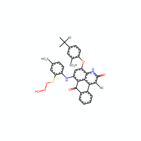 [C-]#[N+]c1c2c3c(c(Nc4ccc(S(=O)(=O)O)cc4SOOO)cc(Oc4ccc(C(C)(C)CC)cc4S(=O)(=O)O)c3[nH]c1=O)C(=O)c1ccccc1-2